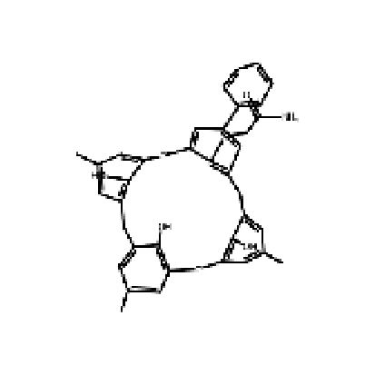 Cc1cc2c(O)c(c1)Cc1cc(C)cc(c1O)Cc1cc(-c3ccccc3)cc(c1OCC(N)=O)Cc1cc(C)cc(c1O)C2